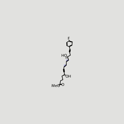 COC(=O)CCC[C@H](O)C#C/C=C/C=C/[C@H](O)CC#Cc1ccc(F)cc1